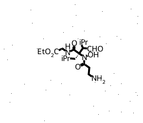 CCOC(=O)CNC(=O)[C@@](CC(C)C)(C(C=O)C(C)C)N(O)C(=O)CCN